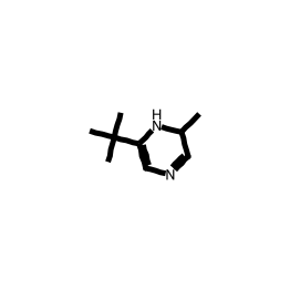 CC1C=NC=C(C(C)(C)C)N1